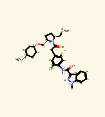 COC[C@@H]1CC[C@@H](CO[C@H]2CC[C@H](C(=O)O)CC2)N1C(=O)Cc1cc(Cl)c(NC(=O)c2nn(C)c3ccccc23)cc1F